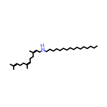 CCCCCCCCCCCCCCCCNCC=C(C)CCC=C(C)CCC=C(C)C